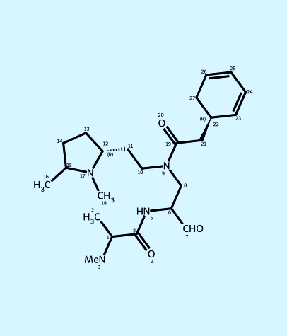 CNC(C)C(=O)NC(C=O)CN(CC[C@H]1CCC(C)N1C)C(=O)C[C@@H]1C=CC=CC1